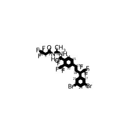 C[C@H](NC(=O)CC(F)(F)F)NC(=O)c1ccc(C=CC(c2cc(Br)cc(Br)c2)C(F)(F)F)cc1C(F)(F)F